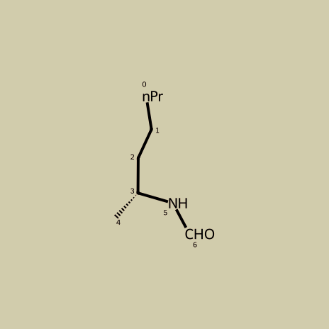 CCCCC[C@@H](C)NC=O